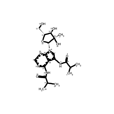 CC(C)C(=O)Nc1cn([C@@H]2O[C@H](CO)[C@@H](O)[C@@]2(C)O)c2ncnc(NC(=O)C(C)C)c12